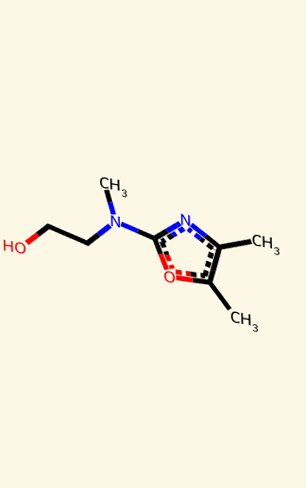 Cc1nc(N(C)CCO)oc1C